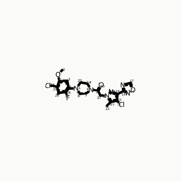 COc1cc(N2CCN(C(=O)Cn3nc(-c4ncon4)c(Cl)c3C)CC2)c(F)cc1Cl